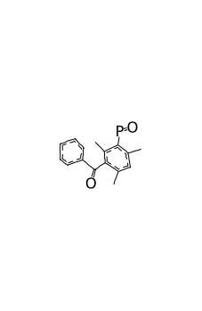 Cc1cc(C)c(C(=O)c2ccccc2)c(C)c1P=O